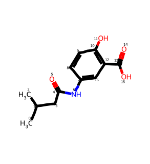 CC(C)CC(=O)Nc1ccc(O)c(C(=O)O)c1